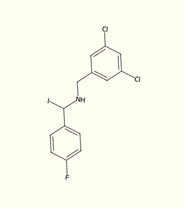 Fc1ccc(C(I)NCc2cc(Cl)cc(Cl)c2)cc1